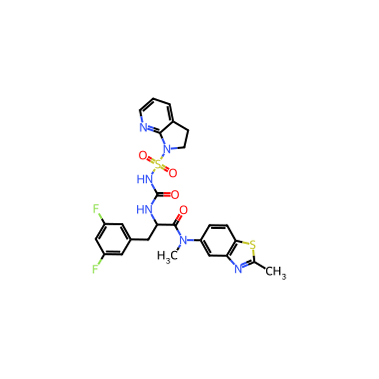 Cc1nc2cc(N(C)C(=O)C(Cc3cc(F)cc(F)c3)NC(=O)NS(=O)(=O)N3CCc4cccnc43)ccc2s1